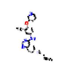 CC(=O)NC/C=C/c1ccc2ncnc(Nc3ccc(Oc4cccnc4)c(C)c3)c2c1